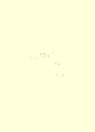 [Co].[Cr].[Cu].[Fe].[Mn]